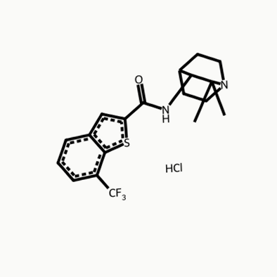 CC1(C)C(NC(=O)c2cc3cccc(C(F)(F)F)c3s2)C2CCN1CC2.Cl